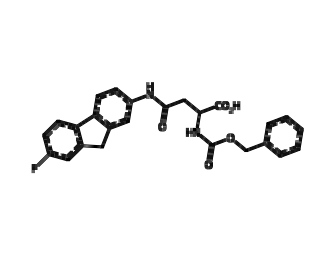 O=C(CC(NC(=O)OCc1ccccc1)C(=O)O)Nc1ccc2c(c1)Cc1cc(F)ccc1-2